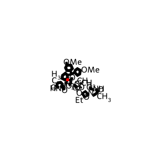 CC[C@H]1O[C@@H](n2cc(C)c(=O)[nH]c2=O)CC1OP(OC[C@H]1O[C@@H](n2cc(C)c(=O)[nH]c2=O)CC1OC(c1ccccc1)(c1ccc(OC)cc1)c1ccc(OC)cc1)O[Si](C)(C)C